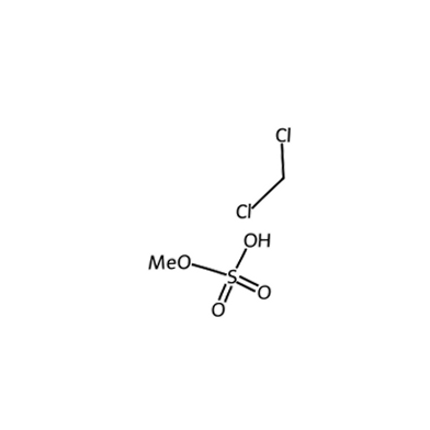 COS(=O)(=O)O.ClCCl